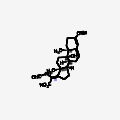 COC1=CC2=CC[C@H]3[C@@H]4CC/C(=C(/NC=O)C(=O)O)[C@@]4(C)CC[C@]3(O)[C@@]2(C)CC1